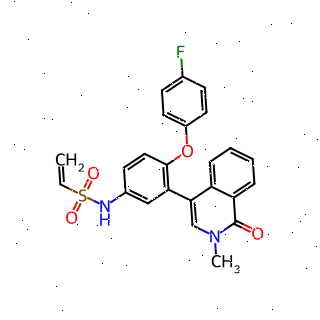 C=CS(=O)(=O)Nc1ccc(Oc2ccc(F)cc2)c(-c2cn(C)c(=O)c3ccccc23)c1